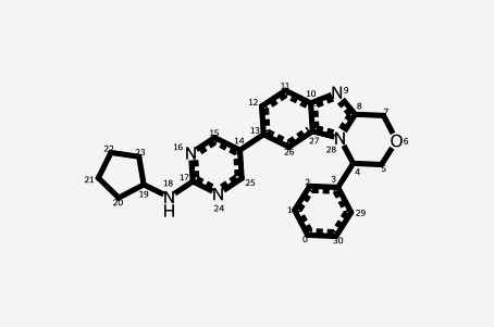 c1ccc(C2COCc3nc4ccc(-c5cnc(NC6CCCC6)nc5)cc4n32)cc1